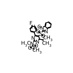 CC(C)c1nc(N(C)S(C)(=O)=O)nc(-c2ccc(F)cc2)c1S(=O)(=O)c1nc2ccccc2n1C